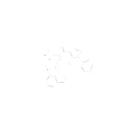 CC(C)(CC(O)(CNC(=O)c1cnn(-c2ccc(F)cc2)c1N)C(F)(F)F)c1cccc2c1OCC2